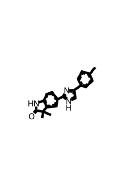 Cc1ccc(-c2c[nH]c(-c3ccc4c(c3)C(C)(C)C(=O)N4)n2)cc1